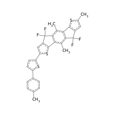 Cc1ccc(-c2ccc(-c3cc4c(s3)-c3c(C)c5c(c(C)c3C4(F)F)-c3sc(C)cc3C5(F)F)s2)cc1